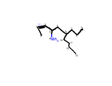 C/C=C\C(N)CC(CCC)CCCC